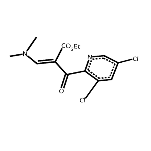 CCOC(=O)/C(=C\N(C)C)C(=O)c1ncc(Cl)cc1Cl